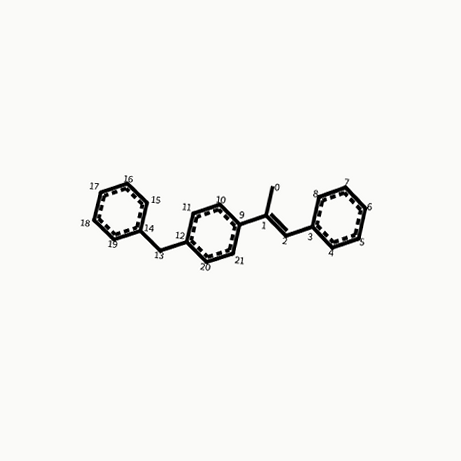 C/C(=C\c1ccccc1)c1ccc(Cc2ccccc2)cc1